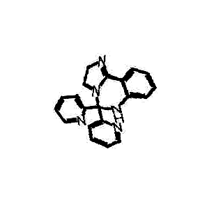 c1ccc(C2(c3ccccn3)Nc3ccccc3C3=NCCN32)nc1